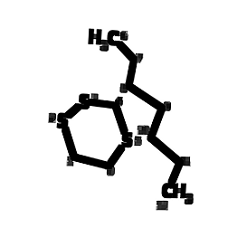 C1CSSCS1.CCCCCCC